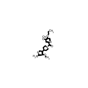 CCCOc1cnc(C(=O)N2CCC(c3cnc(N)cc3OC)CC2)cc1OC